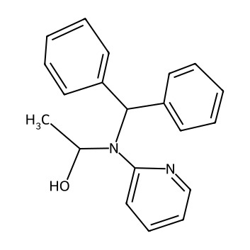 CC(O)N(c1ccccn1)C(c1ccccc1)c1ccccc1